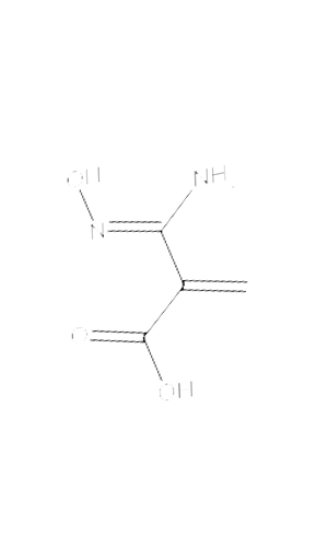 C=C(C(=O)O)/C(N)=N/O